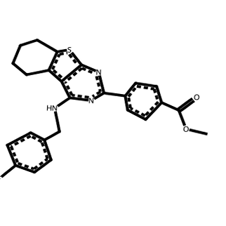 COC(=O)c1ccc(-c2nc(NCc3ccc(F)cc3)c3c4c(sc3n2)CCCC4)cc1